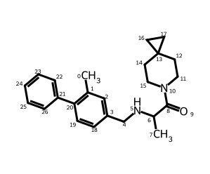 Cc1cc(CNC(C)C(=O)N2CCC3(CC2)CC3)ccc1-c1ccccc1